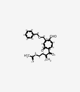 C=C(CCSC(C)=S)C(=O)c1ccc(C=O)c(COCc2ccccc2)cc1=O